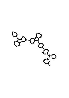 Cc1cccc(N(c2ccccc2)c2ccc(-c3ccc(-n4c5ccccc5c5cc(-c6ccc7c(c6)c6ccccc6n7-c6ccccc6)ccc54)cc3)cc2)c1